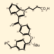 CCCC[C@@H](Oc1ccc(C(=O)c2cn(CCCC(=O)O)c3ccccc23)cc1)c1ccc(CC(C)C)cc1